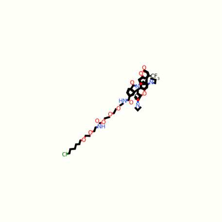 O=C(NCCOCCOCCCCCCCl)OCCOCCOCCNC(=O)c1ccc2c(c1)C1(c3ccc(N4CCC4)cc3Oc3cc(N4CCC4)ccc31)N(c1ccc3c(C(F)(F)F)cc(=O)oc3c1)C2=O